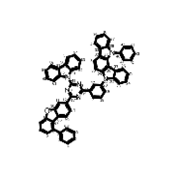 c1ccc(-c2cccc3oc4cc(-c5nc(-c6cccc(-n7c8ccccc8c8c7ccc7c9ccccc9n(-c9ccccc9)c78)c6)nc(-n6c7ccccc7c7ccccc76)n5)ccc4c23)cc1